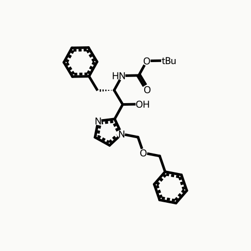 CC(C)(C)OC(=O)N[C@@H](Cc1ccccc1)C(O)c1nccn1COCc1ccccc1